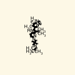 Cc1c(-c2[nH]c3ccc(N4CC5(CN(CC(C)(C)C)C5)C4)nc3c2C(C)C)cn2ncnc2c1C